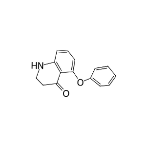 O=C1CCNc2cccc(Oc3ccccc3)c21